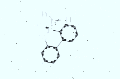 CC(C)N(C)P1(=O)Oc2ccccc2-c2ccccc21